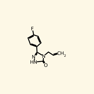 C=CCn1c(-c2ccc(F)cc2)n[nH]c1=O